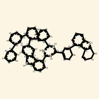 C1=Cc2c(sc3cccc(C4=CC(c5nc(-c6ccccc6)nc(-c6cccc7sc8ccc(-c9ccccc9-c9cccc(-c%10ccccc%10)c9)cc8c67)n5)=CCC4)c23)CC1